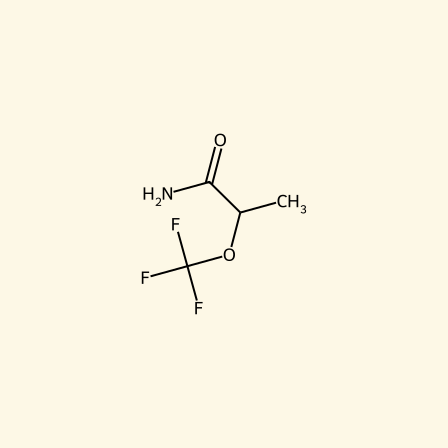 CC(OC(F)(F)F)C(N)=O